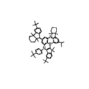 CC(C)c1cc2c3c(c1)C1(C)CCCCC1(C)N3c1cc(C3c4ccc(C(C)(C)C)cc4C4(C)CCCCC34C)cc3c1B2C1=C(c2cc(C(C)(C)C)ccc2C1(C)C)N3c1ccc(C(C)(C)C)cc1